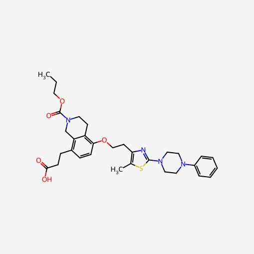 CCCOC(=O)N1CCc2c(OCCc3nc(N4CCN(c5ccccc5)CC4)sc3C)ccc(CCC(=O)O)c2C1